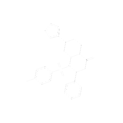 Cc1ccc(S(=O)(=O)N2C(c3ccccc3)CC(=O)C3CCC(c4cccs4)CC32)cc1